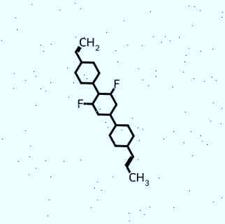 C=CC1CCC(C2C(F)CC(C3CCC(/C=C/C)CC3)CC2F)CC1